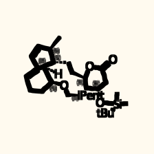 CCC[C@H](C)CO[C@H]1CCC=C2C=C[C@@H](C)[C@H](CC[C@@H]3C[C@@H](O[Si](C)(C)C(C)(C)C)CC(=O)O3)[C@H]21